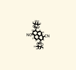 CC1(C)OB(c2cc(C#N)c3ccc4c(B5OC(C)(C)C(C)(C)O5)cc(C#N)c5ccc2c3c54)OC1(C)C